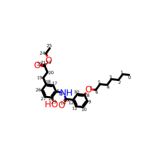 CCCCCCCOc1cccc(C(=O)Nc2cc(CCC(=O)OCC)ccc2O)c1